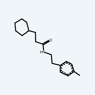 Cc1ccc(CCNC(=O)CCC2CCCCC2)cc1